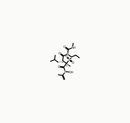 C=C(C)N(O)C(=O)[C@](C)([C@H](CC(C)C)C(=O)N(CCC)C(=O)NC)S(C)(=O)=O